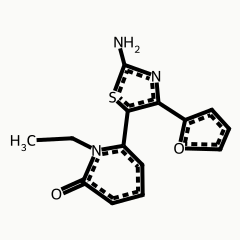 CCn1c(-c2sc(N)nc2-c2ccco2)cccc1=O